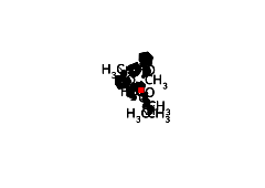 CCC(=O)N(c1ccccc1)C1CCN([C@@H](C)c2ccccc2O[C@@H](CCN(C)C(=O)OCC[Si](C)(C)C)c2cccs2)CC1